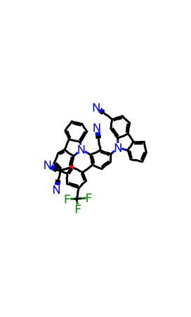 N#Cc1cc(-c2ccc(-n3c4ccccc4c4ccc(C#N)cc43)c(C#N)c2-n2c3ccccc3c3ccc(C#N)cc32)cc(C(F)(F)F)c1